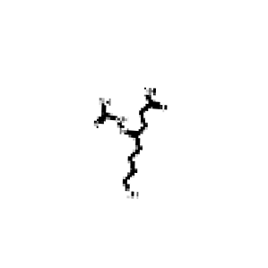 CCCCCC(CCC([NH])=O)=NNC(N)=S